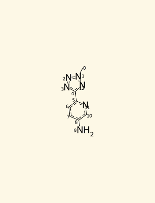 Cn1nnc(-c2ccc(N)cn2)n1